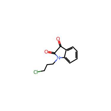 O=C1C(=O)N(CCCCl)c2ccccc21